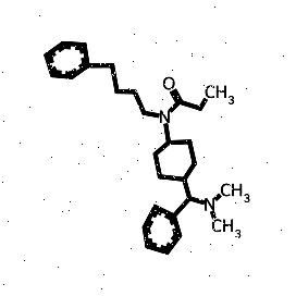 CCC(=O)N(CCCCc1ccccc1)C1CCC(C(c2ccccc2)N(C)C)CC1